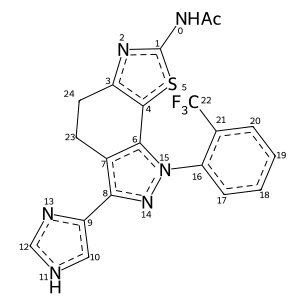 CC(=O)Nc1nc2c(s1)-c1c(c(-c3c[nH]cn3)nn1-c1ccccc1C(F)(F)F)CC2